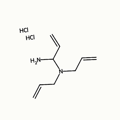 C=CCN(CC=C)C(N)C=C.Cl.Cl